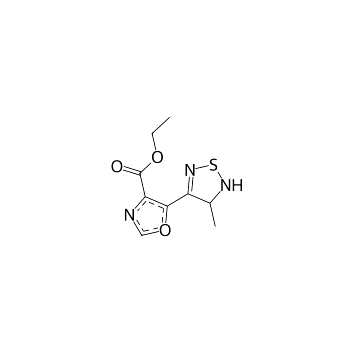 CCOC(=O)c1ncoc1C1=NSNC1C